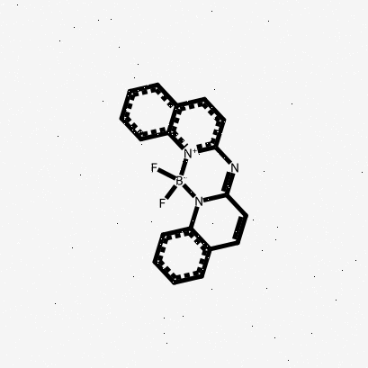 F[B-]1(F)N2C(=Nc3ccc4ccccc4[n+]31)C=Cc1ccccc12